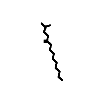 CCCCCCCCCNCCN(C)C